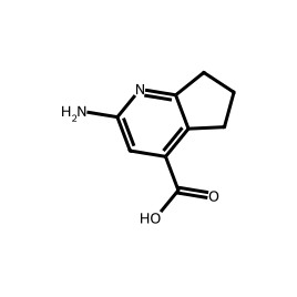 Nc1cc(C(=O)O)c2c(n1)CCC2